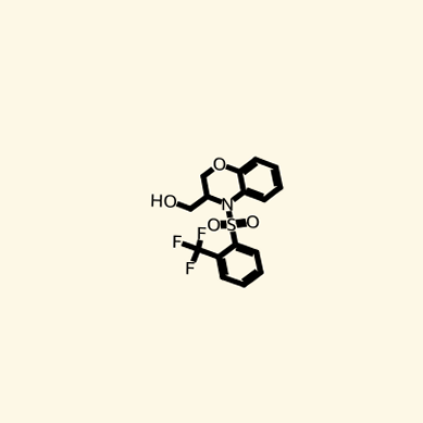 O=S(=O)(c1ccccc1C(F)(F)F)N1c2ccccc2OCC1CO